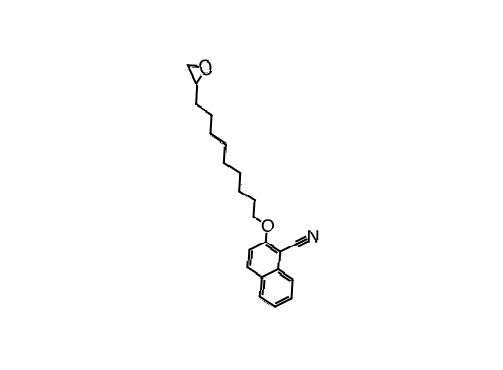 N#Cc1c(OCCCCCCCCCC2CO2)ccc2ccccc12